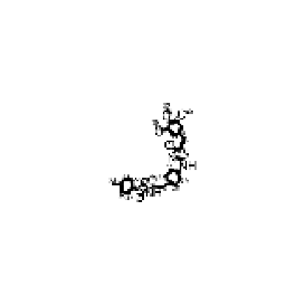 COc1cc(C=C2SC(Nc3ccc(CC(=O)NS(=O)(=O)c4ccc(C)cc4)cc3)=NC2=O)cc(OC)c1OC